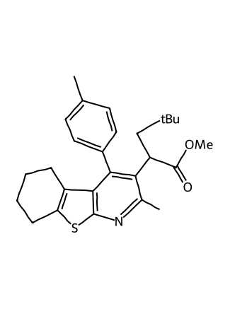 COC(=O)C(CC(C)(C)C)c1c(C)nc2sc3c(c2c1-c1ccc(C)cc1)CCCC3